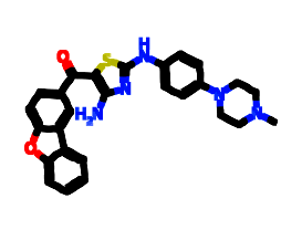 CN1CCN(c2ccc(Nc3nc(N)c(C(=O)c4ccc5oc6ccccc6c5c4)s3)cc2)CC1